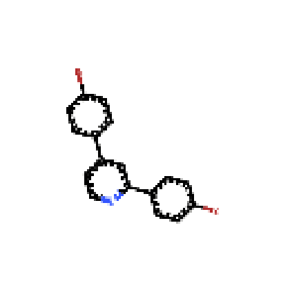 Brc1ccc(-c2ccnc(-c3ccc(Br)cc3)c2)cc1